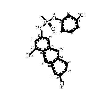 CP(=O)(Oc1cccc(Cl)c1)Oc1cc(Cl)c2cc3cc(Cl)ccc3cc2c1